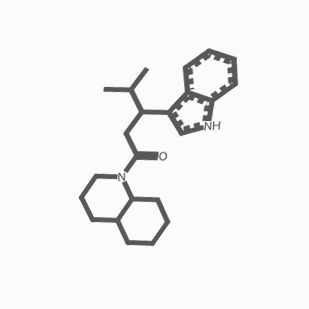 CC(C)C(CC(=O)N1CCCC2CCCCC21)c1c[nH]c2ccccc12